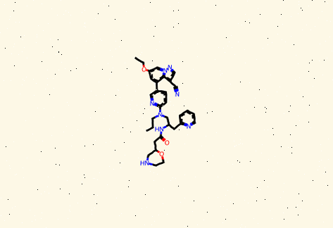 CCCN(CC(Cc1ccccn1)NC(=O)CC1CNCCO1)c1ccc(-c2cc(OCC)cn3ncc(C#N)c23)cn1